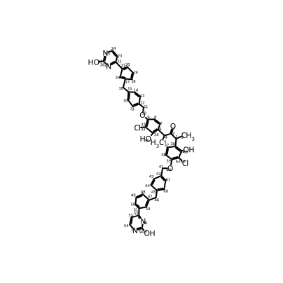 CC(C(=O)C(C)c1ccc(OCc2ccc(Cc3cccc(-c4ccnc(O)n4)c3)cc2)c(Cl)c1O)c1ccc(OCc2ccc(Cc3cccc(-c4ccnc(O)n4)c3)cc2)c(Cl)c1O